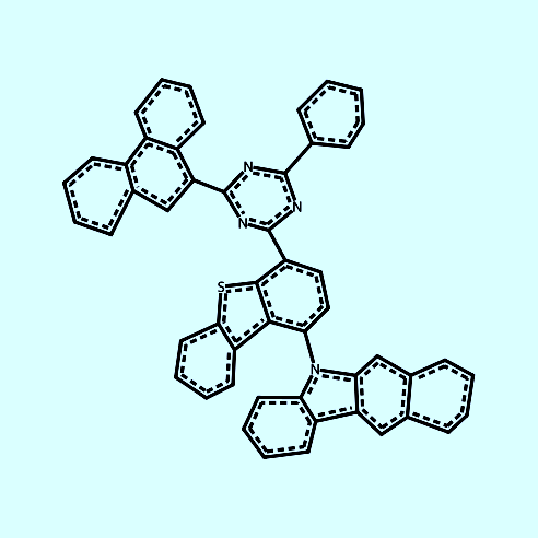 c1ccc(-c2nc(-c3cc4ccccc4c4ccccc34)nc(-c3ccc(-n4c5ccccc5c5cc6ccccc6cc54)c4c3sc3ccccc34)n2)cc1